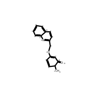 CC1C=CC(OCc2ccc3ccccc3n2)=CC1=O